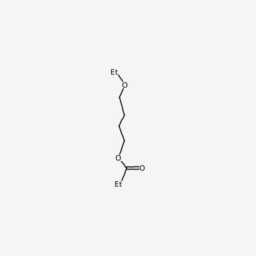 CCOCCCCOC(=O)CC